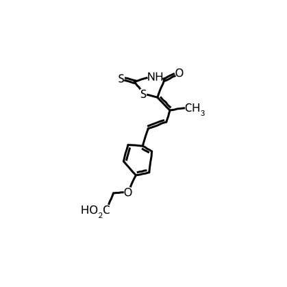 CC(C=Cc1ccc(OCC(=O)O)cc1)=C1SC(=S)NC1=O